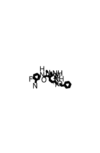 C[C@@H](OCc1ccccc1)[C@H]1C=Cc2c(cn(C)c2C(=O)Nc2ccc(F)c(C#N)c2)S(=N)(=O)N1